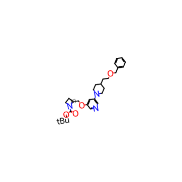 CC(C)(C)OC(=O)N1CC[C@H]1COc1cncc(N2CCC(CCOCc3ccccc3)CC2)c1